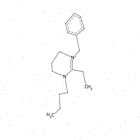 CCCCN1CCC[N+](Cc2ccccc2)=C1CC